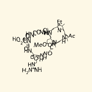 CC[C@H]1c2cc3[nH]c4c(CC(=O)OC)c5nc(cc6[nH]c(cc(n2)C1C)c(C(C)=O)c6C)C(C)[C@@H]5CCC(=O)NN[C@@H](CCCNC(=N)N)C(=O)C(=O)CNC(=O)[C@H](CC(=O)O)NC(=O)NCCNC(=O)c4c3C